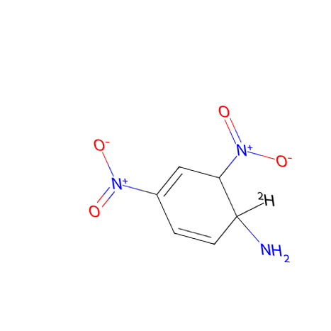 [2H]C1(N)C=CC([N+](=O)[O-])=CC1[N+](=O)[O-]